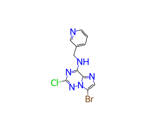 Clc1nc(NCc2cccnc2)c2ncc(Br)n2n1